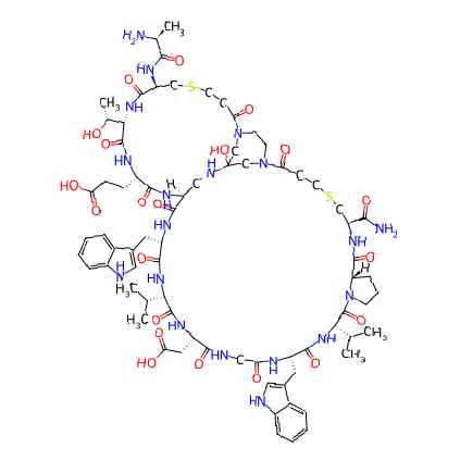 CC(C)[C@@H]1NC(=O)[C@H](Cc2c[nH]c3ccccc23)NC(=O)[C@@H]2CNC3(O)CN(CCN(C3)C(=O)CCSC[C@H](NC(=O)[C@H](C)N)C(=O)N[C@@H]([C@@H](C)O)C(=O)N[C@@H](CCC(=O)O)C(=O)N2)C(=O)CCSC[C@@H](C(N)=O)NC(=O)[C@@H]2CCCN2C(=O)[C@H](C(C)C)NC(=O)[C@H](Cc2c[nH]c3ccccc23)NC(=O)CNC(=O)[C@H](CC(=O)O)NC1=O